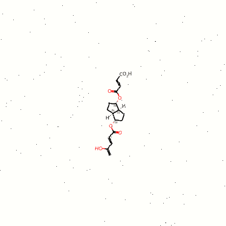 C=C(O)C=CC(=O)O[C@H]1CC[C@H]2[C@@H]1CC[C@@H]2OC(=O)C=CC(=O)O